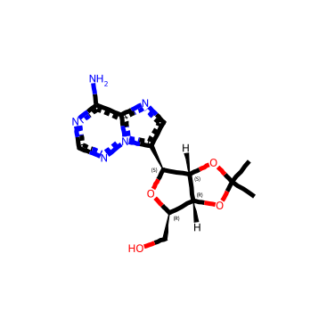 CC1(C)O[C@@H]2[C@H](O1)[C@@H](CO)O[C@H]2c1cnc2c(N)ncnn12